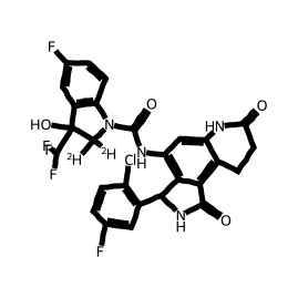 [2H]C1([2H])N(C(=O)Nc2cc3c(c4c2C(c2cc(F)ccc2Cl)NC4=O)CCC(=O)N3)c2ccc(F)cc2C1(O)C(F)(F)F